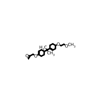 COCCOC1CC=C(C(C)(C)C2CC=C(OCC3CO3)CC2)CC1